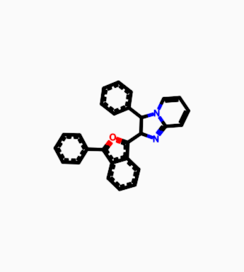 C1=CC2=NC(c3oc(-c4ccccc4)c4ccccc34)C(c3ccccc3)N2C=C1